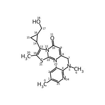 Cc1ccc(N(C)Cc2cc(=O)n3c(C4CC4CO)c(C)sc3n2)nc1